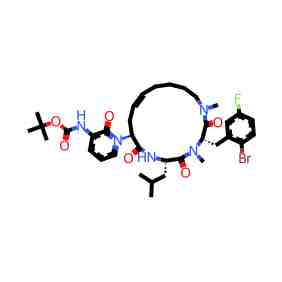 CC(C)C[C@@H]1NC(=O)[C@@H](n2cccc(NC(=O)OC(C)(C)C)c2=O)CC=CCCCCN(C)C(=O)[C@H](Cc2cc(F)ccc2Br)N(C)C1=O